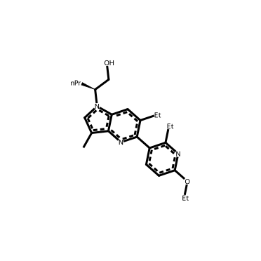 CCC[C@@H](CO)n1cc(C)c2nc(-c3ccc(OCC)nc3CC)c(CC)cc21